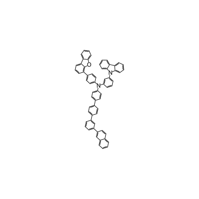 c1cc(-c2ccc(-c3ccc(N(c4ccc(-c5cccc6c5oc5ccccc56)cc4)c4cccc(-n5c6ccccc6c6ccccc65)c4)cc3)cc2)cc(-c2ccc3ccccc3c2)c1